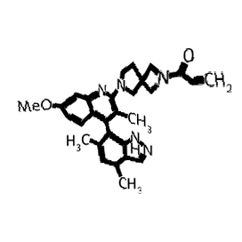 C=CC(=O)N1CC2(CCN(c3nc4cc(OC)ccc4c(C4=C5NN=CC5C(C)C=C4C)c3C)C2)C1